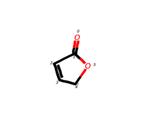 O=C1C=C[C]O1